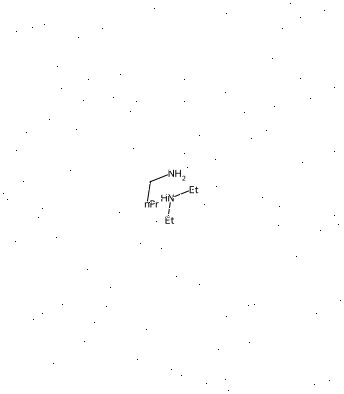 CCCCN.CCNCC